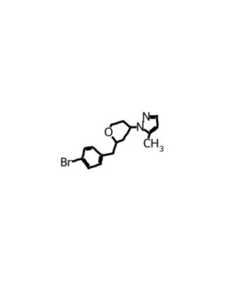 Cc1ccnn1C1CCOC(Cc2ccc(Br)cc2)C1